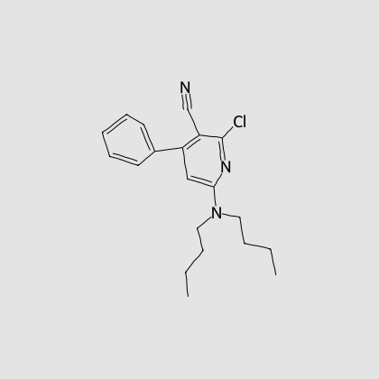 CCCCN(CCCC)c1cc(-c2ccccc2)c(C#N)c(Cl)n1